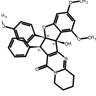 COc1ccc([C@@]23Oc4cc(OC)cc(OC)c4[C@]2(O)c2nc4n(c(=O)c2[C@H]3c2ccccc2)CCCC4)cc1